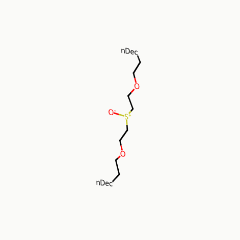 CCCCCCCCCCCCOCC[S+]([O-])CCOCCCCCCCCCCCC